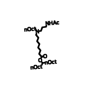 CCCCCCCCC(CCCCCCCC)OC(=O)CCCCCCCN(CCCCCCCC)CCCNC(C)=O